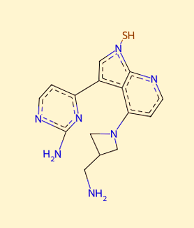 NCC1CN(c2ccnc3c2c(-c2ccnc(N)n2)cn3S)C1